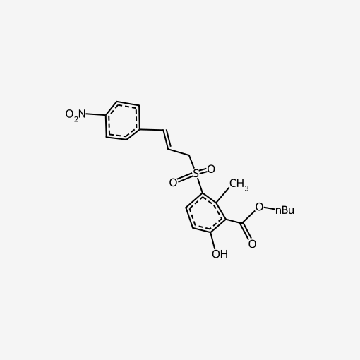 CCCCOC(=O)c1c(O)ccc(S(=O)(=O)CC=Cc2ccc([N+](=O)[O-])cc2)c1C